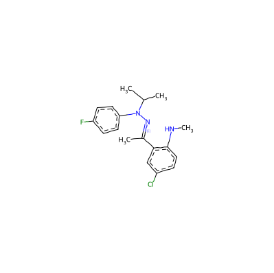 CNc1ccc(Cl)cc1/C(C)=N/N(c1ccc(F)cc1)C(C)C